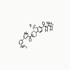 N=C(N)NC(=O)c1ccc(C2CCN(C(=O)c3cncc(-c4cccc(N)c4)c3)CC2)c(C(F)(F)F)c1